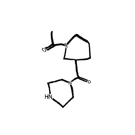 CC(=O)N1CCCC(C(=O)N2CCNCC2)C1